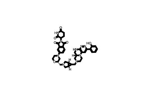 O=C1CCC(N2C(=O)c3ccc(N4CCO[C@@H](CN5C[C@@H]6C(CN7CCN8c9cc(-c%10ccccc%10O)nnc9NC[C@H]8C7)[C@@H]6C5)C4)cc3C2=O)C(=O)N1